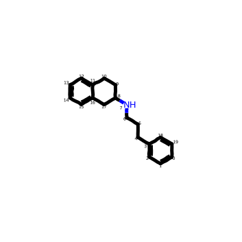 c1ccc(CCCNC2CCc3ccccc3C2)cc1